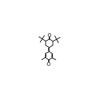 CC1=CC(=C2CC(C(C)(C)C)C(=O)C(C(C)(C)C)C2)C=C(C)C1=O